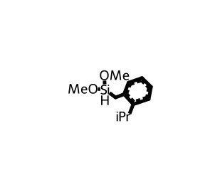 CO[SiH](Cc1ccccc1C(C)C)OC